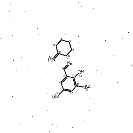 CC(C)(C)c1cc(/C=N/[C@H]2CCCCC2=N)c(O)c(C(C)(C)C)c1